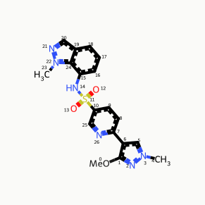 COc1nn(C)cc1-c1ccc(S(=O)(=O)Nc2cccc3cnn(C)c23)cn1